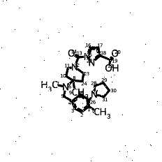 Cc1ccc(CN(C)C2(C)CCN(C(=O)n3ccc(C(=O)O)n3)CC2)cc1N1CCCC1